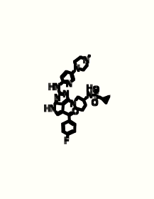 CN1CCN(c2ccc(Nc3nc(N4CCC[C@H](NS(=O)(=O)C5CC5)C4)c4c(C(=O)c5ccc(F)cc5)c[nH]c4n3)nc2)CC1